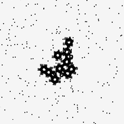 c1ccc(-c2nc(-c3ccccc3)c3c(n2)oc2ccc(-c4ccc(-n5c6ccccc6c6cc7ccccc7cc65)c5oc6ccc7ccccc7c6c45)cc23)cc1